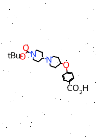 CC(C)(C)OC(=O)N1CCC(N2CCC(Oc3ccc(C(=O)O)cc3)CC2)CC1